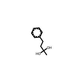 CC(O)(O)CCc1cc[c]cc1